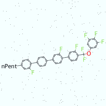 CCCCCc1ccc(-c2ccc(-c3ccc(-c4ccc(C(F)(F)Oc5cc(F)c(F)c(F)c5)c(F)c4)c(F)c3)cc2)c(F)c1